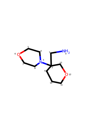 NCC1(N2CCOCC2)CCCOC1